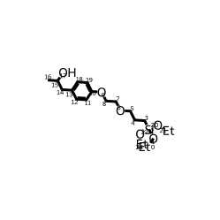 CCO[Si](CCCOCCOc1ccc(CC(C)O)cc1)(OCC)OCC